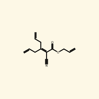 C=CCOC(=O)C(C#N)=C(CC=C)CC=C